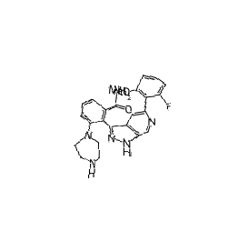 COc1cccc(F)c1-c1cc2c(-c3c(C(N)=O)cccc3N3CCNCC3)n[nH]c2cn1